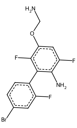 NCOc1cc(F)c(N)c(-c2ccc(Br)cc2F)c1F